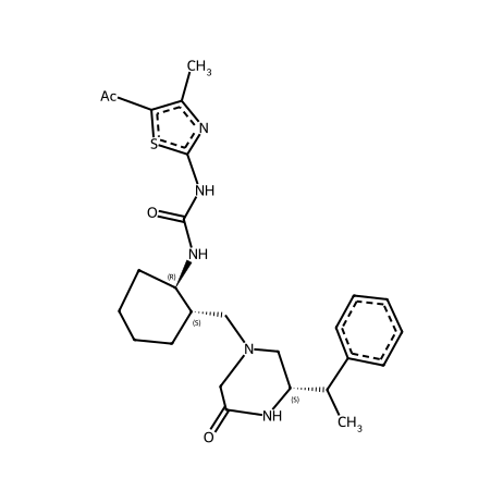 CC(=O)c1sc(NC(=O)N[C@@H]2CCCC[C@H]2CN2CC(=O)N[C@@H](C(C)c3ccccc3)C2)nc1C